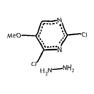 COc1cnc(Cl)nc1Cl.NN